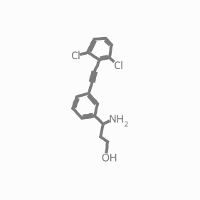 NC(CCO)c1cccc(C#Cc2c(Cl)cccc2Cl)c1